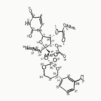 COC(=O)O[C@H]1C(n2ccc(=O)[nH]c2=O)O[C@@](CO[P@@]2(=O)OCC[C@@H](c3cccc(Cl)c3)O2)(N=[N+]=[N-])[C@H]1OC(=O)OC